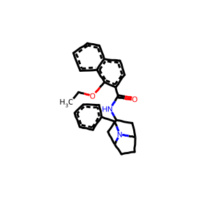 CCOc1c(C(=O)NC2CC3CCC(C2)N3Cc2ccccc2)ccc2ccccc12